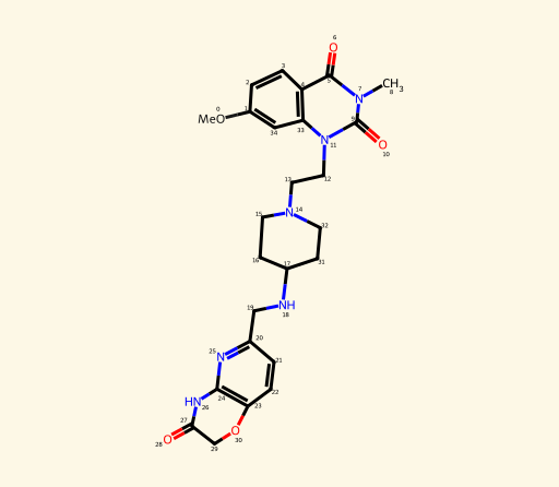 COc1ccc2c(=O)n(C)c(=O)n(CCN3CCC(NCc4ccc5c(n4)NC(=O)CO5)CC3)c2c1